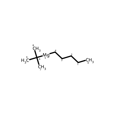 CCCC[CH2][Mg][C](C)(C)C